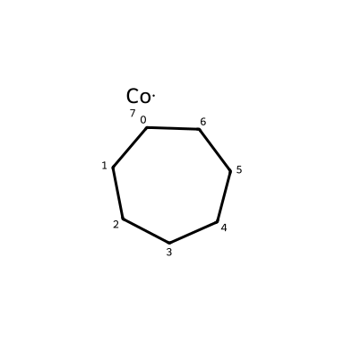 C1CCCCCC1.[Co]